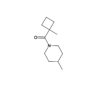 CC1CCN(C(=O)C2(C)CCC2)CC1